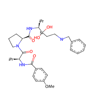 COc1ccc(C(=O)N[C@H](C(=O)N2CCC[C@H]2C(=O)N[C@@H](C(C)C)[Si](O)(O)CC[N]Cc2ccccc2)C(C)C)cc1